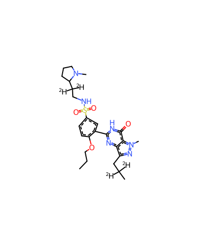 [2H]C([2H])(C)Cc1nn(C)c2c(=O)[nH]c(-c3cc(S(=O)(=O)NCC([2H])([2H])C4CCCN4C)ccc3OCCC)nc12